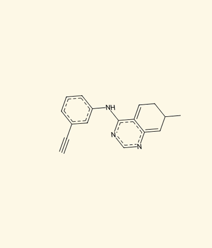 C#Cc1cccc(Nc2ncnc3c2=CCC(C)C=3)c1